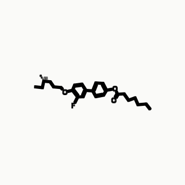 CCCCCCC(=O)Oc1ccc(-c2ccc(OCCC[C@@H](C)CC)c(F)c2)cc1